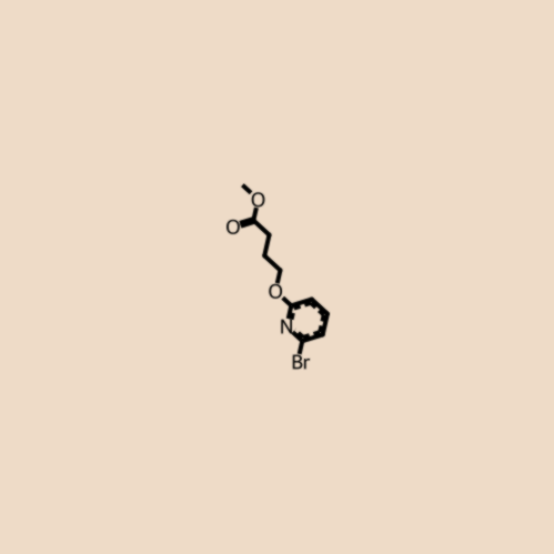 COC(=O)CCCOc1cccc(Br)n1